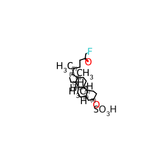 C[C@H](CCC(=O)CF)[C@H]1CC[C@H]2[C@@H]3CC[C@@H]4C[C@H](OS(=O)(=O)O)CC[C@]4(C)[C@H]3CC[C@]12C